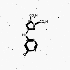 O=C(O)[C@@H]1C[C@H](Nc2cc(Cl)ncn2)CN1C(=O)O